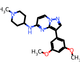 COc1cc(OC)cc(-c2cnn3ccc(NC4CCN(C)CC4)nc23)c1